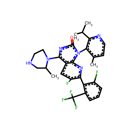 Cc1ccnc(C(C)C)c1-n1c(=O)nc(N2CCNCC2C)c2cc(F)c(-c3c(F)cccc3C(F)(F)F)nc21